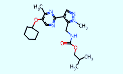 Cc1nc(-c2cnn(C)c2CNC(=O)OCC(C)C)ncc1OC1CCCCC1